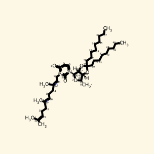 [CH2][C@H]1O[C@@H](n2ccc(=O)n(C/C=C(\C)CC/C=C(\C)CCC=C(C)C)c2=O)[C@@H]2OC(CCCCCCCCC)(CCCCCCCCC)O[C@@H]21